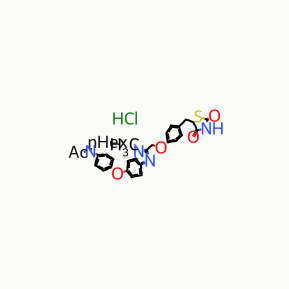 CCCCCCN(C(C)=O)c1ccc(Oc2ccc3nc(COc4ccc(CC5SC(=O)NC5=O)cc4)n(C)c3c2)cc1.Cl